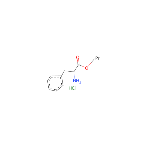 CC(C)OC(=O)[C@H](N)Cc1ccccc1.Cl